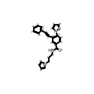 O=C(NCCCn1cccc1)c1ccc(-n2cccn2)c(C#Cc2ccccc2)c1